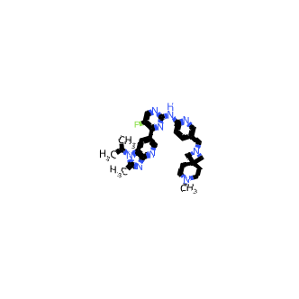 Cc1nc2ncc(-c3nc(Nc4ccc(CN5CC6(CCN(C)CC6)C5)cn4)ncc3F)cc2n1C(C)C